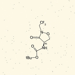 CC(C)(C)OC(=O)N[C@@H]1CON(CC(F)(F)F)C1=O